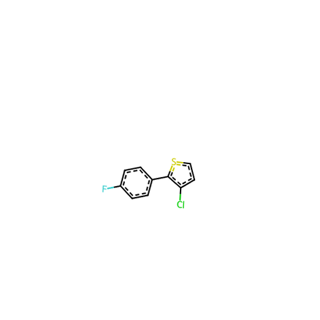 Fc1ccc(-c2sccc2Cl)cc1